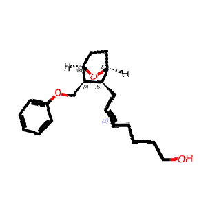 OCCCC/C=C\C[C@H]1[C@@H](COc2ccccc2)[C@H]2CC[C@@H]1O2